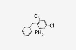 Pc1ccccc1Cc1ccc(Cl)cc1Cl